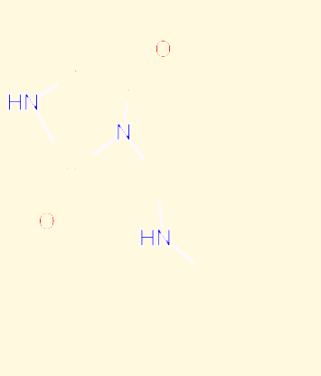 CC1(C)NC(=O)N(CNc2ccccc2)C1=O